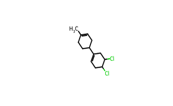 CC1=CCC(C2=CCC(Cl)C(Cl)C2)CC1